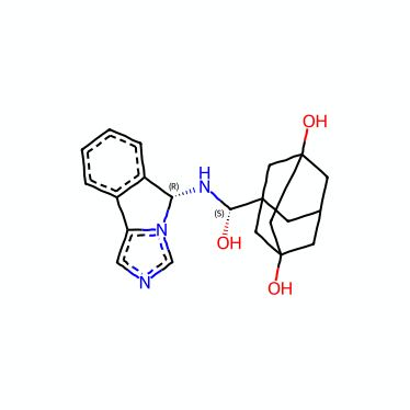 O[C@H](N[C@H]1c2ccccc2-c2cncn21)C12CC3CC(O)(CC(O)(C3)C1)C2